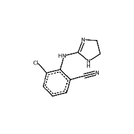 N#Cc1cccc(Cl)c1NC1=NCCN1